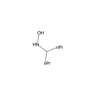 CCCC(CCC)NO